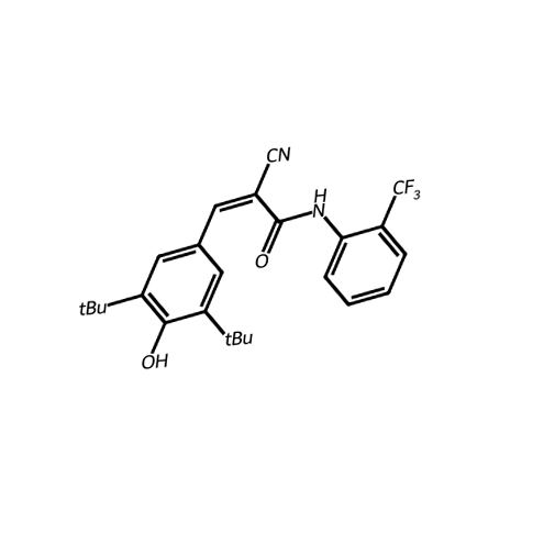 CC(C)(C)c1cc(C=C(C#N)C(=O)Nc2ccccc2C(F)(F)F)cc(C(C)(C)C)c1O